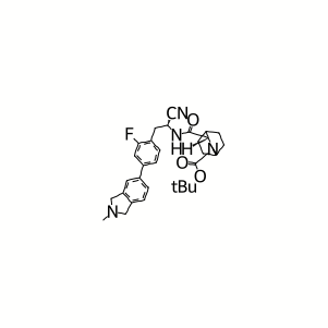 CN1Cc2ccc(-c3ccc(C[C@@H](C#N)NC(=O)[C@@H]4C5CCC(CC5)N4C(=O)OC(C)(C)C)c(F)c3)cc2C1